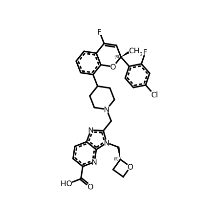 C[C@]1(c2ccc(Cl)cc2F)C=C(F)c2cccc(C3CCN(Cc4nc5ccc(C(=O)O)nc5n4C[C@@H]4CCO4)CC3)c2O1